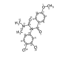 COc1ccc(C(=O)N(C(=O)N(C)C)c2ccc(Cl)c(Cl)c2)cc1